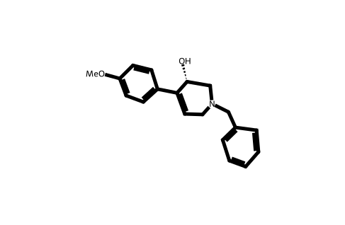 COc1ccc(C2=CCN(Cc3ccccc3)C[C@H]2O)cc1